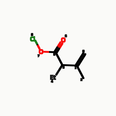 C=C(C)C(CC)C(=O)OCl